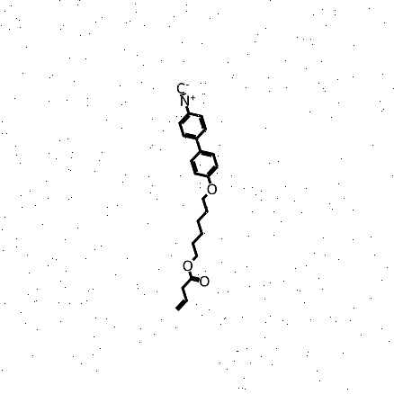 [C-]#[N+]c1ccc(-c2ccc(OCCCCCCOC(=O)CC=C)cc2)cc1